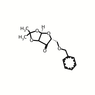 CC1(C)OC2C(=O)[C@@H](COCc3ccccc3)O[C@@H]2O1